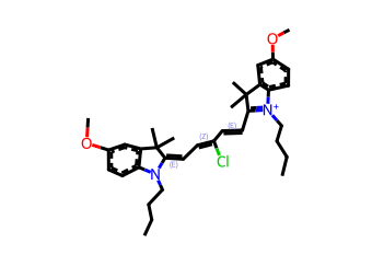 CCCCN1/C(=C/C=C(Cl)/C=C/C2=[N+](CCCC)c3ccc(OC)cc3C2(C)C)C(C)(C)c2cc(OC)ccc21